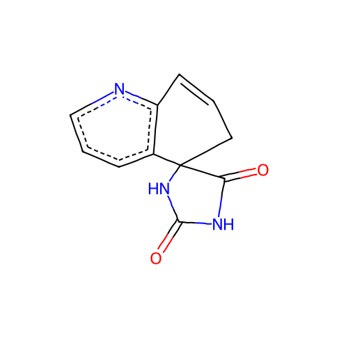 O=C1NC(=O)C2(CC=Cc3ncccc32)N1